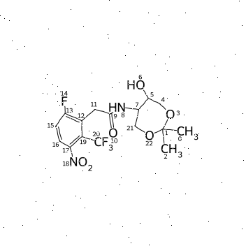 CC1(C)OCC(O)C(NC(=O)Cc2c(F)ccc([N+](=O)[O-])c2C(F)(F)F)CO1